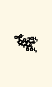 CCN1C(=O)C(=Cc2ccc([N+](=O)[O-])s2)C(=O)N(CC)C1=S